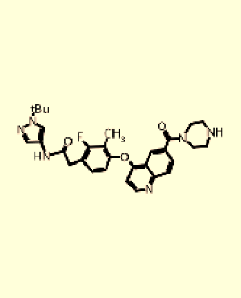 Cc1c(Oc2ccnc3ccc(C(=O)N4CCNCC4)cc23)ccc(CC(=O)Nc2cnn(C(C)(C)C)c2)c1F